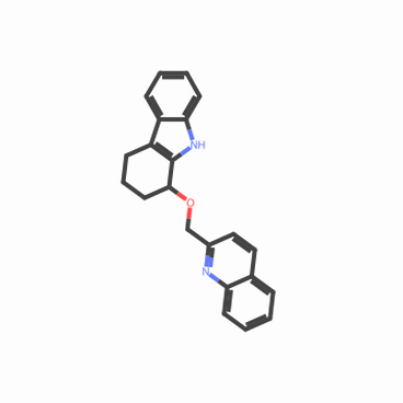 c1ccc2nc(COC3CCCc4c3[nH]c3ccccc43)ccc2c1